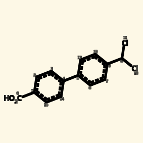 O=C(O)c1ccc(-c2ccc(C(Cl)Cl)cc2)cc1